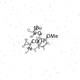 COc1ccc(CN(C)C2(C(=O)O)CC2)cc1O[Si](C)(C)C(C)(C)C